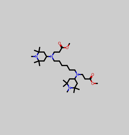 COC(=O)CCN(CCCCCCN(CCC(=O)OC)C1CC(C)(C)N(C)C(C)(C)C1)C1CC(C)(C)N(C)C(C)(C)C1